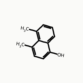 Cc1cccc2c(O)ccc(C)c12